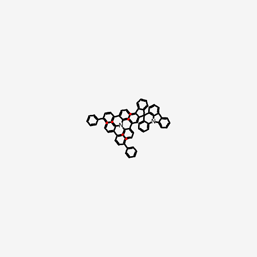 c1ccc(-c2ccc(-c3ccccc3N(c3ccccc3-c3ccc(-c4ccccc4)cc3)c3ccccc3-c3ccc4c(c3)C3(c5ccccc5-4)c4ccccc4-n4c5ccccc5c5cccc3c54)cc2)cc1